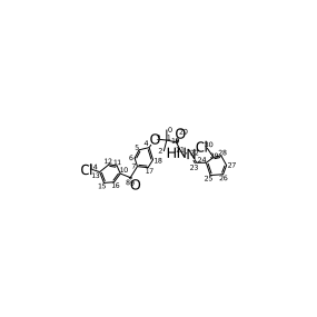 CC(C)(Oc1ccc(C(=O)c2ccc(Cl)cc2)cc1)C(=O)N/N=C/c1ccccc1Cl